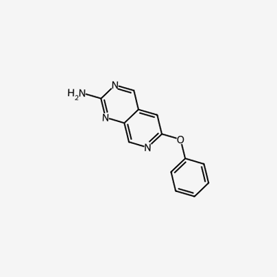 Nc1ncc2cc(Oc3ccccc3)ncc2n1